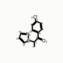 CC(C(=O)c1ccc(Cl)cc1)n1cccn1